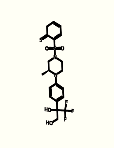 C[C@H]1CN(S(=O)(=O)C2=CC=CCC2=S)CCN1c1ccc(C(O)(CO)C(F)(F)F)cc1